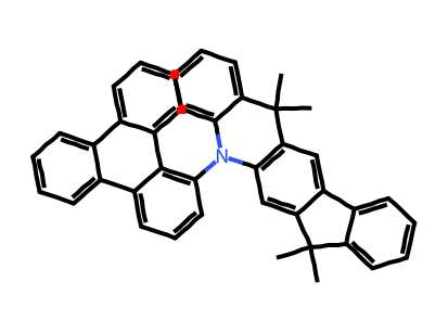 CC1(C)c2ccccc2-c2cc3c(cc21)N(c1cccc2c4ccccc4c4ccccc4c12)c1ccccc1C3(C)C